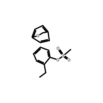 CCc1ccccc1OS(C)(=O)=O.c1cc2ccc1CO2